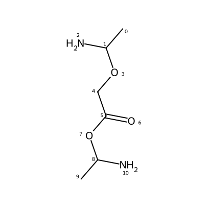 CC(N)OCC(=O)OC(C)N